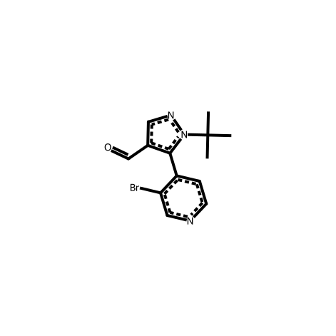 CC(C)(C)n1ncc(C=O)c1-c1ccncc1Br